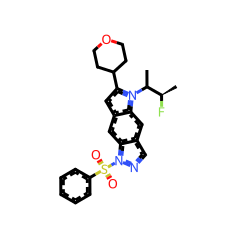 CC([C@@H](C)F)n1c(C2CCOCC2)cc2cc3c(cnn3S(=O)(=O)c3ccccc3)cc21